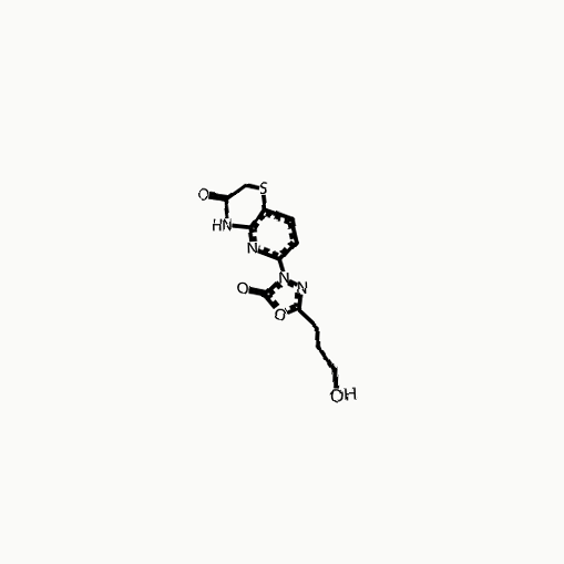 O=C1CSc2ccc(-n3nc(CCCO)oc3=O)nc2N1